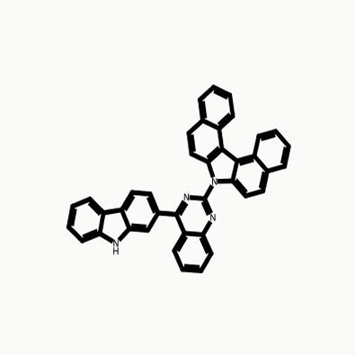 c1ccc2c(c1)ccc1c2c2c3ccccc3ccc2n1-c1nc(-c2ccc3c(c2)[nH]c2ccccc23)c2ccccc2n1